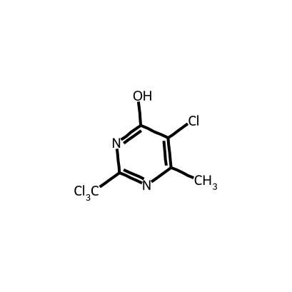 Cc1nc(C(Cl)(Cl)Cl)nc(O)c1Cl